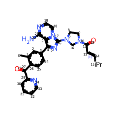 Cc1cc(-c2nc(N3CCN(C(=O)/C=C/C(C)C)C3)n3ccnc(N)c23)ccc1C(=O)c1ccccn1